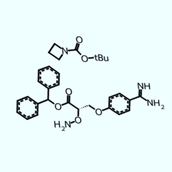 CC(C)(C)OC(=O)N1CCC1.N=C(N)c1ccc(OC[C@H](ON)C(=O)OC(c2ccccc2)c2ccccc2)cc1